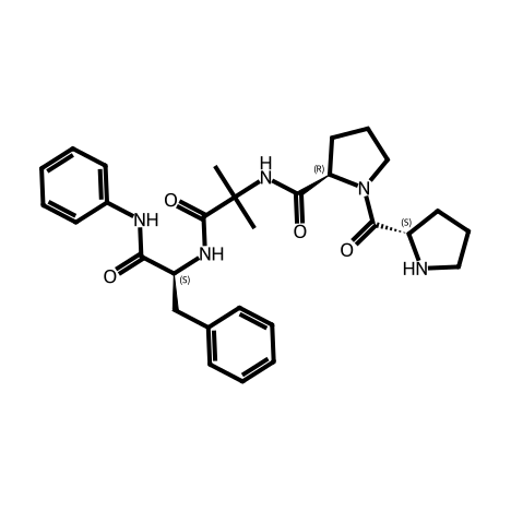 CC(C)(NC(=O)[C@H]1CCCN1C(=O)[C@@H]1CCCN1)C(=O)N[C@@H](Cc1ccccc1)C(=O)Nc1ccccc1